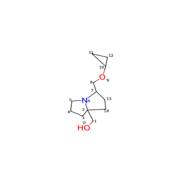 OCC12CCCN1C(COC1CC1)CC2